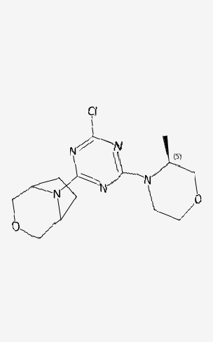 C[C@H]1COCCN1c1nc(Cl)nc(N2C3CCC2COC3)n1